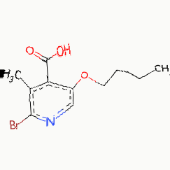 CCCCOc1cnc(Br)c(C)c1C(=O)O